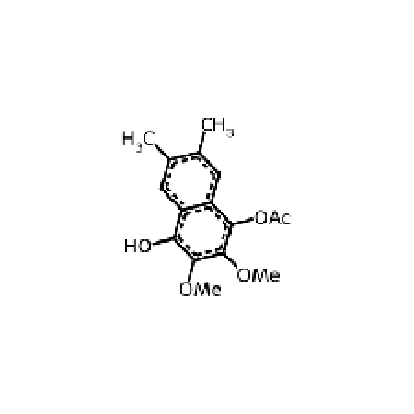 COc1c(OC)c(OC(C)=O)c2cc(C)c(C)cc2c1O